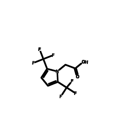 O=C(O)Cn1c(C(F)(F)F)ccc1C(F)(F)F